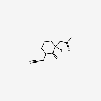 C#CCC1CCCC(I)(CC(C)=O)C1=C